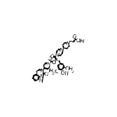 Cc1cc(C[C@@H](OC(=O)N2CCC(N3CCc4ccccc4NC3=O)CC2)C(=O)N2CCN(C3CCN(CCC(=O)O)CC3)CC2)cc(C)c1O